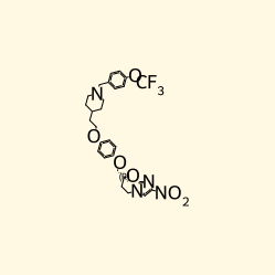 O=[N+]([O-])c1cn2c(n1)O[C@@H](COc1ccc(OCCC3CCN(Cc4ccc(OC(F)(F)F)cc4)CC3)cc1)CC2